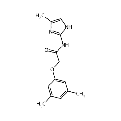 Cc1cc(C)cc(OCC(=O)Nc2nc(C)c[nH]2)c1